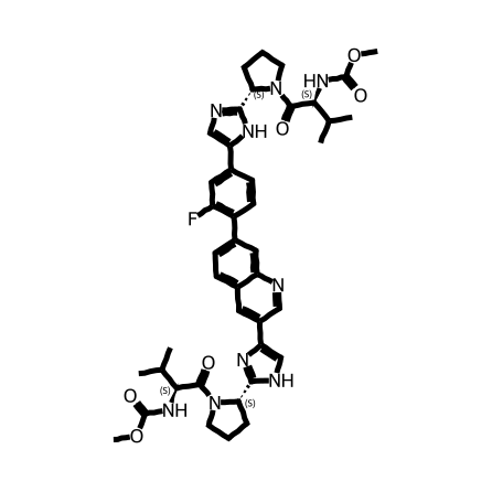 COC(=O)N[C@H](C(=O)N1CCC[C@H]1c1nc(-c2cnc3cc(-c4ccc(-c5cnc([C@@H]6CCCN6C(=O)[C@@H](NC(=O)OC)C(C)C)[nH]5)cc4F)ccc3c2)c[nH]1)C(C)C